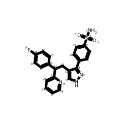 NS(=O)(=O)c1ccc(-c2n[nH]cc2CC(c2ccc(F)cc2)c2ccccn2)cc1